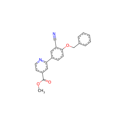 COC(=O)c1ccnc(-c2ccc(OCc3ccccc3)c(C#N)c2)c1